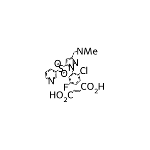 CNCc1cc(S(=O)(=O)c2cccnc2)n(-c2cc(F)ccc2Cl)n1.O=C(O)C=CC(=O)O